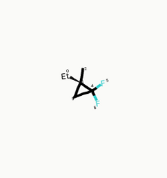 CC[C@]1(C)CC1(F)F